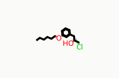 CCCCCCOc1cccc(C[C@H](O)CCl)c1